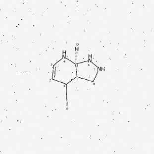 IC1C=CN[C@H]2NNCC12